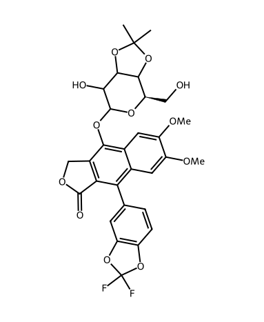 COc1cc2c(OC3O[C@H](CO)C4OC(C)(C)OC4C3O)c3c(c(-c4ccc5c(c4)OC(F)(F)O5)c2cc1OC)C(=O)OC3